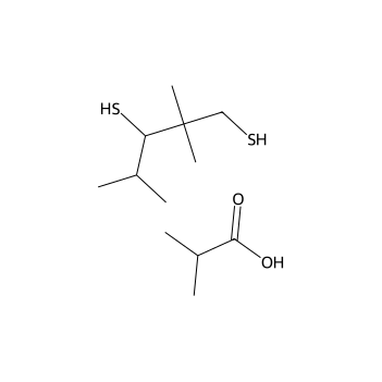 CC(C)C(=O)O.CC(C)C(S)C(C)(C)CS